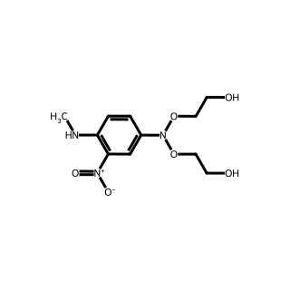 CNc1ccc(N(OCCO)OCCO)cc1[N+](=O)[O-]